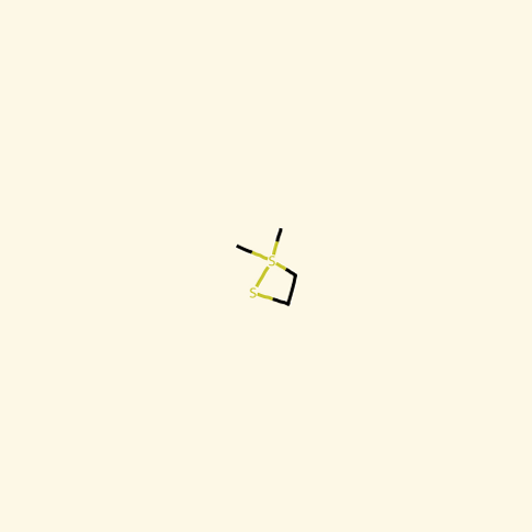 CS1(C)CCS1